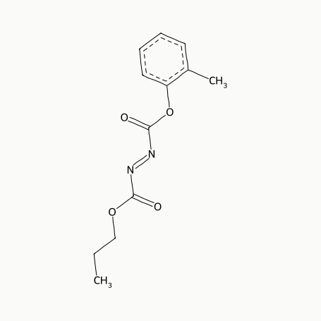 CCCOC(=O)/N=N/C(=O)Oc1ccccc1C